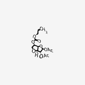 C=CCOC(=O)O[C@@H]1CO[C@H]2C1OC(OC(C)=O)[C@@H]2OC(C)=O